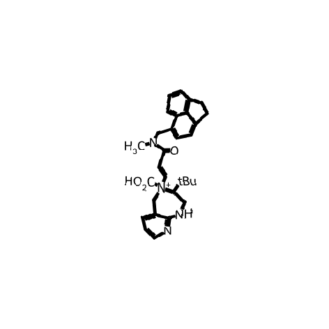 CN(Cc1ccc2c3c(cccc13)CC2)C(=O)/C=C/[N+]1(C(=O)O)Cc2cccnc2NCC1C(C)(C)C